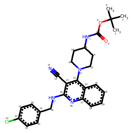 CC(C)(C)OC(=O)NC1CCN(c2c(C#N)c(NCc3ccc(Cl)cc3)nc3ccccc23)CC1